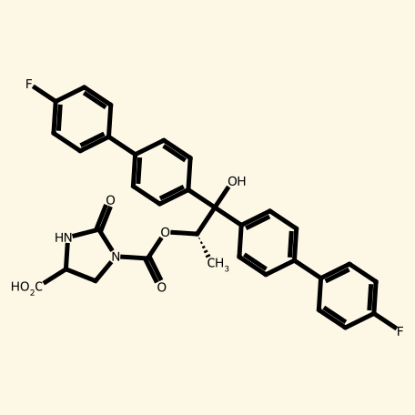 C[C@H](OC(=O)N1CC(C(=O)O)NC1=O)C(O)(c1ccc(-c2ccc(F)cc2)cc1)c1ccc(-c2ccc(F)cc2)cc1